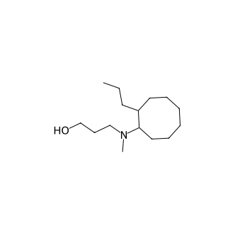 CCCC1CCCCCCC1N(C)CCCO